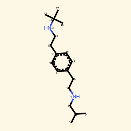 CC(C)CNCCc1ccc(CCNC(C)(C)C)cc1